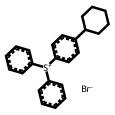 [Br-].c1ccc([S+](c2ccccc2)c2ccc(C3CCCCC3)cc2)cc1